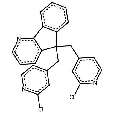 Clc1cc(CC2(Cc3ccnc(Cl)c3)c3ccccc3-c3ncccc32)ccn1